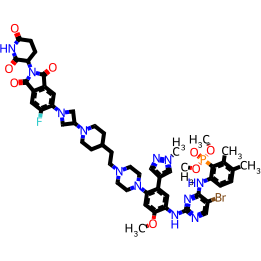 COc1cc(N2CCN(CCC3CCN(C4CN(c5cc6c(cc5F)C(=O)N(C5CCC(=O)NC5=O)C6=O)C4)CC3)CC2)c(-c2cnn(C)c2)cc1Nc1ncc(Br)c(Nc2ccc(C)c(C)c2P(=O)(OC)OC)n1